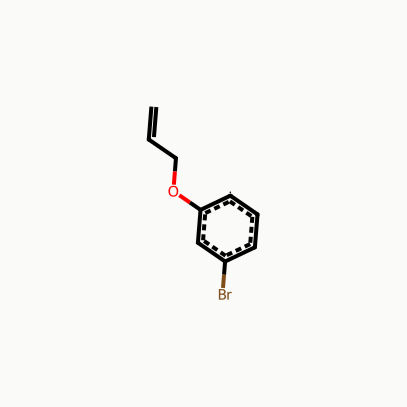 C=CCOc1[c]ccc(Br)c1